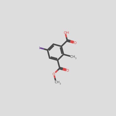 COC(=O)c1cc(I)cc(C(=O)O)c1C